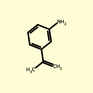 C=C(C)c1cccc(N)c1